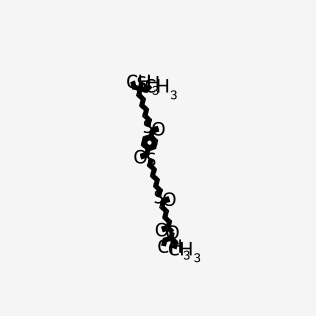 CCC(CC)OC(=O)CCCCC(=O)SCCCCCCSC(=O)c1ccc(C(=O)SCCCCCCC(S)(CC)CC)cc1